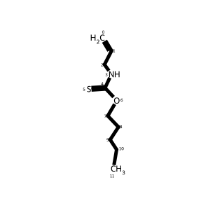 C=CCNC(=S)OCCCCC